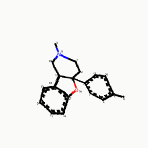 Cc1ccc(C23CCN(C)CC2c2ccccc2O3)cc1